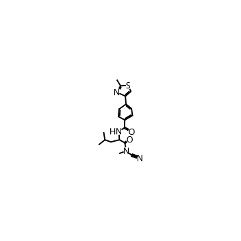 Cc1nc(-c2ccc(C(=O)NC(CC(C)C)C(=O)N(C)C#N)cc2)cs1